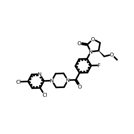 COC[C@@H]1COC(=O)N1c1ccc(C(=O)N2CCN(c3ncc(Cl)cc3Cl)CC2)cc1F